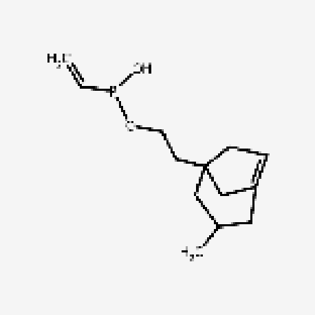 C=CP(O)OCCC12CC=C(CC(C)C1)C2